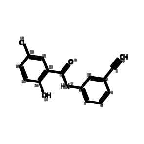 C#Cc1cccc(NC(=O)c2cc(Cl)ccc2O)c1